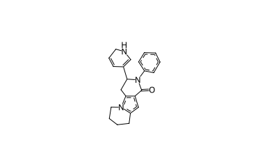 O=C1c2cc3n(c2CC(C2=CNCC=C2)N1c1ccccc1)CCCC3